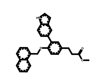 COC(=O)CCc1ccc(OCc2cccc3ccccc23)c(-c2ccc3[nH]ccc3c2)c1